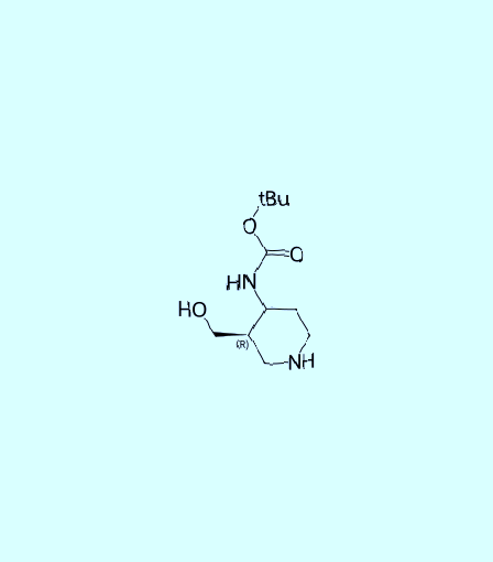 CC(C)(C)OC(=O)NC1CCNC[C@H]1CO